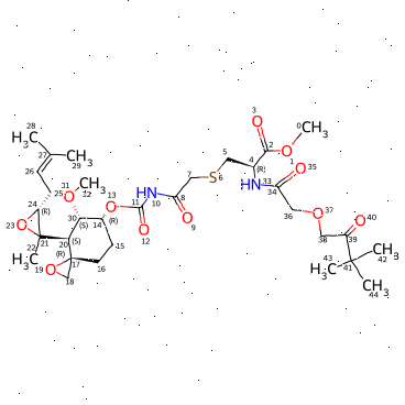 COC(=O)[C@H](CSCC(=O)NC(=O)O[C@@H]1CC[C@]2(CO2)[C@@H](C2(C)O[C@@H]2CC=C(C)C)[C@@H]1OC)NC(=O)COCC(=O)C(C)(C)C